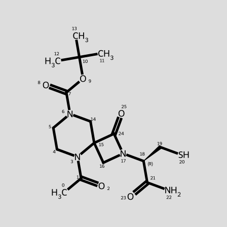 CC(=O)N1CCN(C(=O)OC(C)(C)C)CC12CN([C@@H](CS)C(N)=O)C2=O